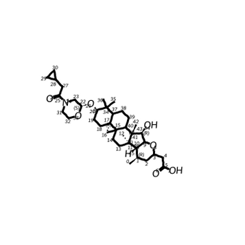 C[C@@H]1CC(CC(=O)O)OC2[C@H]1[C@@]1(C)CCC34C[C@@]35CC[C@H](O[C@H]3CN(C(=O)CC6CC6)CCO3)C(C)(C)C5CCC4[C@]1(C)[C@H]2O